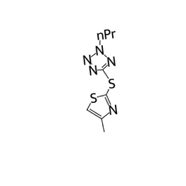 CCCn1nnc(Sc2nc(C)cs2)n1